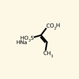 CC=C(C(=O)O)S(=O)(=O)O.[NaH]